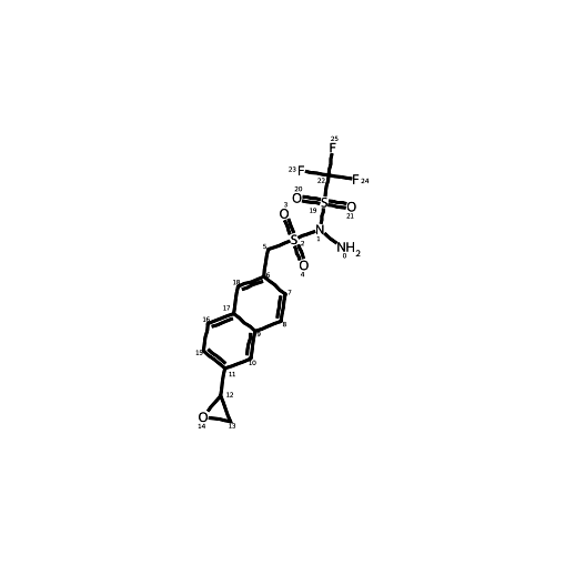 NN(S(=O)(=O)Cc1ccc2cc(C3CO3)ccc2c1)S(=O)(=O)C(F)(F)F